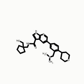 CN(C)Cc1cc(-c2cnc3[nH]cc(C(=O)NCC4(CO)CCCC4)c3c2)ccc1C1CCOCC1